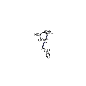 CC(=O)O[C@@H]1/C=C/[C@H](C)[C@@H](/C(C)=C/C=C/[C@@H](C)COC(=O)N2CCOCC2)OC(=O)C[C@@H](O)CC[C@]1(C)O